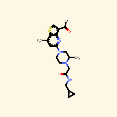 CCC(=O)c1csc2c(C(F)(F)F)cc(N3CCN(CC(=O)NCC4CC4)C(C)C3)nc12